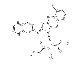 CNC[C@H](O)[C@@H](O)[C@H](O)[C@H](O)CO.O.O=C1N=C(Nc2c(Cl)cccc2Cl)S/C1=C\c1ccc2nccnc2c1